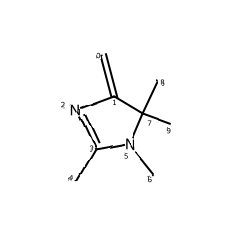 C=C1N=C(C)N(C)C1(C)C